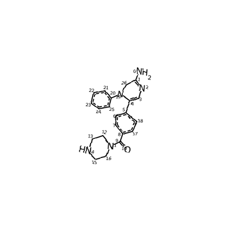 NC1=NC=C(c2ccc(C(=O)N3CCNCC3)cc2)N(c2ccccc2)C1